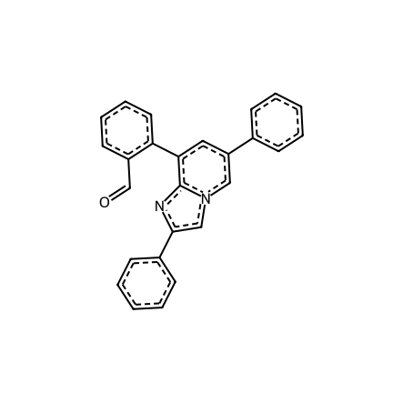 O=Cc1ccccc1-c1cc(-c2ccccc2)cn2cc(-c3ccccc3)nc12